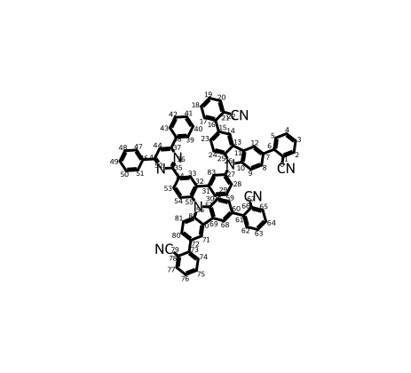 N#Cc1ccccc1-c1ccc2c(c1)c1cc(-c3ccccc3C#N)ccc1n2-c1cccc(-c2cc(-c3nc(-c4ccccc4)cc(-c4ccccc4)n3)ccc2-n2c3ccc(-c4ccccc4C#N)cc3c3cc(-c4ccccc4C#N)ccc32)c1